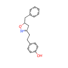 Oc1ccc(CCC2=NOC(Cc3ccccc3)C2)cc1